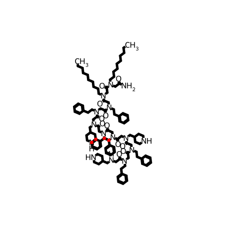 CCCCCCCCCCN(CC(N)=O)C(=O)CN(CCCCCCCCCC)C(=O)CN(CCc1ccccc1)C(=O)CN(CCc1ccccc1)C(=O)CN(CC1CCNCC1)C(=O)CN(CCc1ccccc1)C(=O)CN(CCc1ccccc1)C(=O)CN(CC1CCNCC1)C(=O)CN(CCc1ccccc1)C(=O)CN(CCc1ccccc1)C(=O)CNCC1CCNCC1